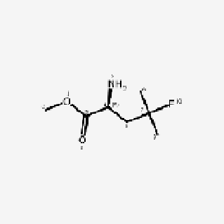 COC(=O)[C@@H](N)CC(C)(C)F